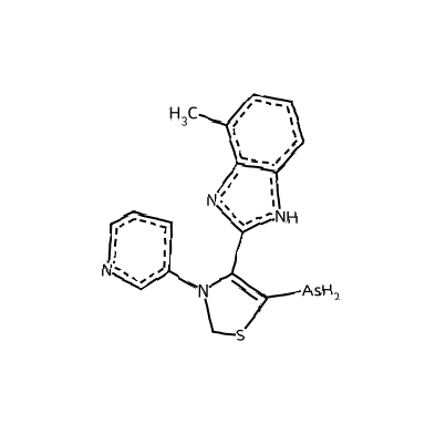 Cc1cccc2[nH]c(C3=C([AsH2])SCN3c3cccnc3)nc12